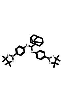 CC1(C)OB(c2ccc(OC(Oc3ccc(B4OC(C)(C)C(C)(C)O4)cc3)C34CC5CC(CC(C5)C3)C4)cc2)OC1(C)C